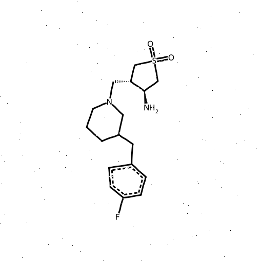 N[C@@H]1CS(=O)(=O)C[C@H]1CN1CCCC(Cc2ccc(F)cc2)C1